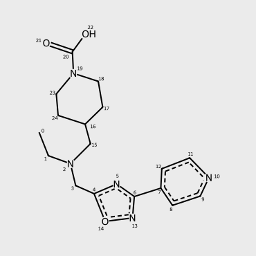 CCN(Cc1nc(-c2ccncc2)no1)CC1CCN(C(=O)O)CC1